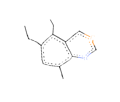 CCc1cc(C)c2ncpcc2c1C